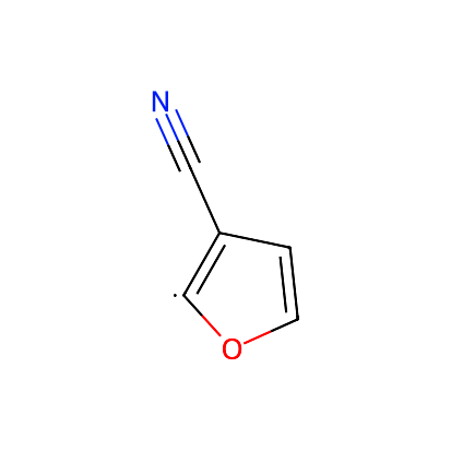 N#Cc1[c]occ1